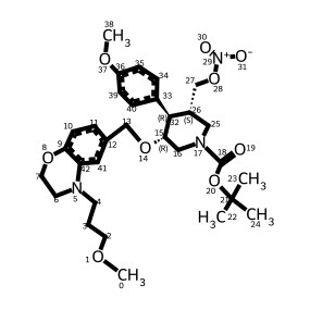 COCCCN1CCOc2ccc(CO[C@H]3CN(C(=O)OC(C)(C)C)C[C@@H](CO[N+](=O)[O-])[C@@H]3c3ccc(OC)cc3)cc21